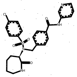 O=C(Nc1cccnc1)c1ccc(CN([C@@H]2CCCCNC2=O)S(=O)(=O)c2ccc(Cl)cc2)cc1